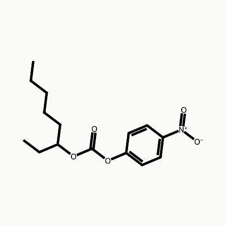 CCCCCC(CC)OC(=O)Oc1ccc([N+](=O)[O-])cc1